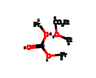 CC(C)OC(=O)OC(C)C.CCOC(=O)OCC